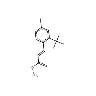 COC(=O)C=Cc1ccc(I)cc1C(F)(F)F